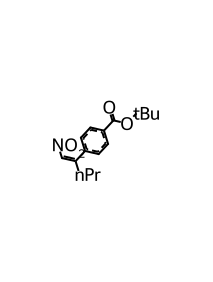 CCC/C(=C/[N+](=O)[O-])c1ccc(C(=O)OC(C)(C)C)cc1